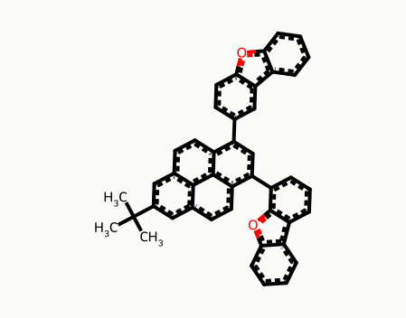 CC(C)(C)c1cc2ccc3c(-c4ccc5oc6ccccc6c5c4)cc(-c4cccc5c4oc4ccccc45)c4ccc(c1)c2c34